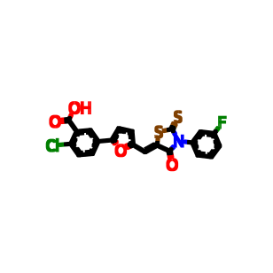 O=C(O)c1cc(-c2ccc(/C=C3\SC(=S)N(c4cccc(F)c4)C3=O)o2)ccc1Cl